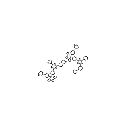 c1ccc(-c2cccc(-c3nc(-c4ccccc4)nc(-c4ccc5c(c4)-c4cc(-c6cccnc6)ccc4C54c5ccccc5Oc5c(-c6ccc7cc(-c8nc(-c9ccccc9)nc(-c9ccc%10c(c9)-c9cc(-c%11cccnc%11)ccc9C%109c%10ccccc%10Oc%10ccccc%109)n8)ccc7c6)cccc54)n3)c2)cc1